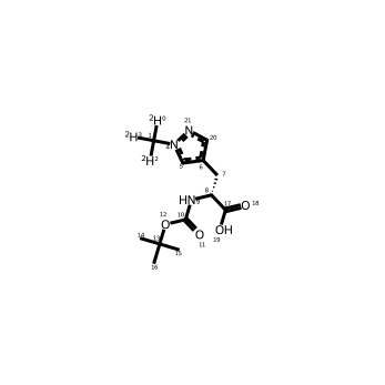 [2H]C([2H])([2H])n1cc(C[C@@H](NC(=O)OC(C)(C)C)C(=O)O)cn1